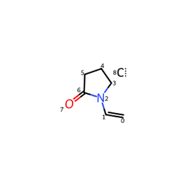 C=CN1CCCC1=O.[C]